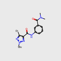 CCc1nn(C(C)(C)C)nc1C(=O)Nc1cccc(C(=O)N(C)C)c1